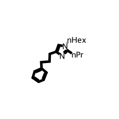 CCCCCCn1cc(CCCc2ccccc2)nc1CCC